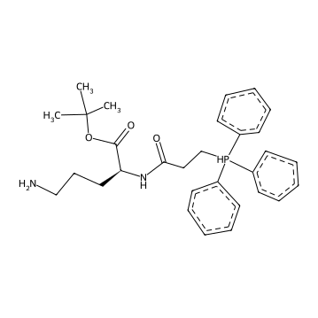 CC(C)(C)OC(=O)[C@H](CCCN)NC(=O)CC[PH](c1ccccc1)(c1ccccc1)c1ccccc1